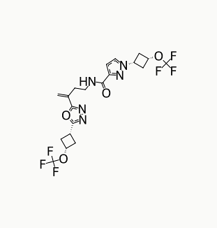 C=C(CCNC(=O)c1ccn([C@H]2C[C@@H](OC(F)(F)F)C2)n1)c1nnc([C@H]2C[C@@H](OC(F)(F)F)C2)o1